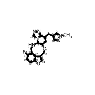 Cn1cc(Cc2cc3c(n4cnnc24)NCc2c(F)ccc4c2[C@H](CO4)CO3)cn1